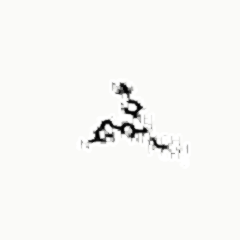 CC(C)(O)C(F)CNC(=O)c1cnc(-c2ccc3cc(C#N)cnn23)cc1Nc1ccc(-n2cncn2)nc1